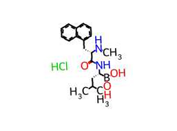 CN[C@@H](Cc1cccc2ccccc12)C(=O)N[C@@H](CC(C)C)B(O)O.Cl